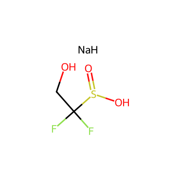 O=S(O)C(F)(F)CO.[NaH]